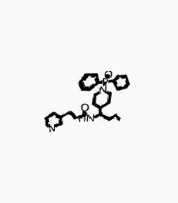 CCCC(NC(=O)C=Cc1cccnc1)C1CCN(P(=O)(c2ccccc2)c2ccccc2)CC1